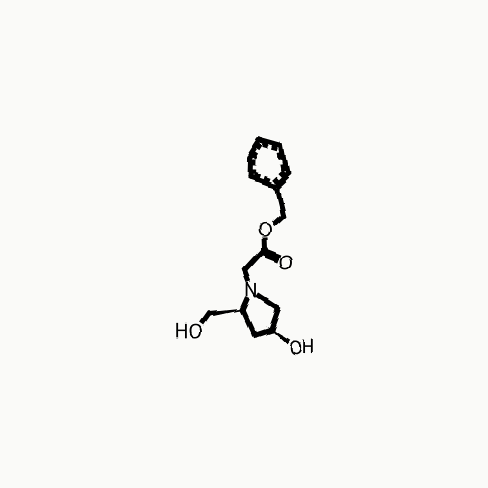 O=C(CN1C[C@@H](O)C[C@H]1CO)OCc1ccccc1